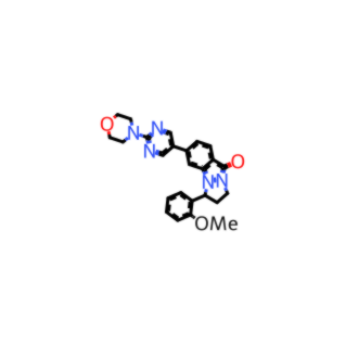 COc1ccccc1C1CCn2c(=O)c3ccc(-c4cnc(N5CCOCC5)nc4)cc3n21